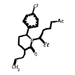 C=CCC1CCC(c2ccc(Cl)cc2)N(C(CC)CCCC(C)=O)C1=O